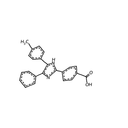 Cc1ccc(-c2[nH]c(-c3ccc(C(=O)O)cc3)nc2-c2ccccc2)cc1